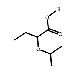 CCC(OC(C)C)C(=O)[O][Ti]